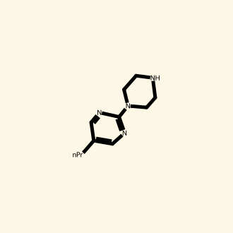 CCCc1cnc(N2CCNCC2)nc1